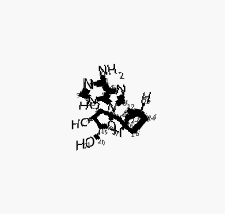 Nc1ncnc2c1ncn2[C@]1([C@@H]2C[C@@H]3C=C[C@H]2C3)O[C@H](CO)[C@@H](O)[C@H]1O